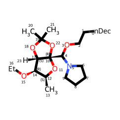 CCCCCCCCCCCCOC(N1CCCC1)[C@@]12O[C@@H](C)[C@@H](OCC)[C@@H]1OC(C)(C)O2